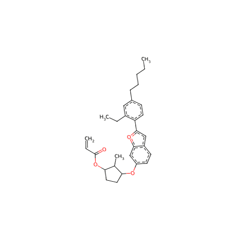 C=CC(=O)OC1CCC(Oc2ccc3cc(-c4ccc(CCCCC)cc4CC)oc3c2)C1C